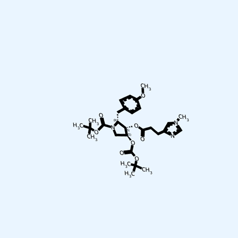 COc1ccc(C[C@@H]2[C@H](OC(=O)CCc3cn(C)cn3)[C@@H](OC(=O)OC(C)(C)C)CN2C(=O)OC(C)(C)C)cc1